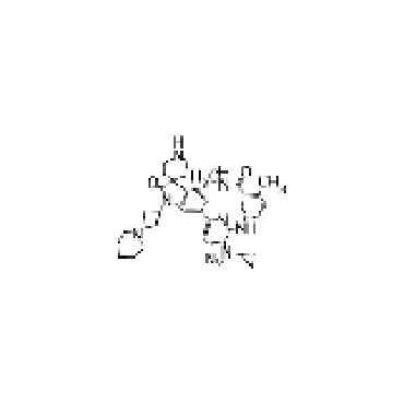 CNC(=O)c1cc(Nc2nc(-c3ccc4c(c3)N(C3CC(N5CCCCC5)C3)C(=O)C43CCNCC3)cc3ncn(C4CC4)c23)ccc1C